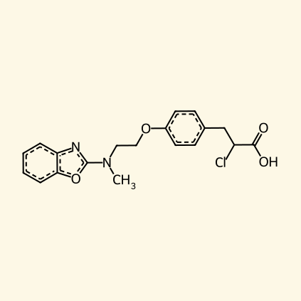 CN(CCOc1ccc(CC(Cl)C(=O)O)cc1)c1nc2ccccc2o1